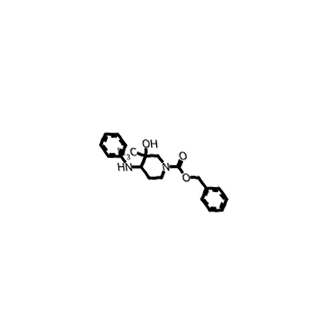 CC1(O)CN(C(=O)OCc2ccccc2)CCC1Nc1ccccc1